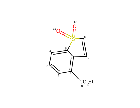 CCOC(=O)c1cccc2c1C=CS2(=O)=O